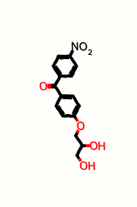 O=C(c1ccc(OCC(O)CO)cc1)c1ccc([N+](=O)[O-])cc1